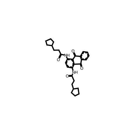 O=C(CCC1CCCC1)Nc1ccc(NC(=O)CCC2CCCC2)c2c1C(=O)c1ccccc1C2=O